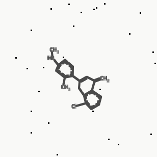 C=C1C=C(c2ccc(BC)cc2C)Cc2c(Cl)cccc21